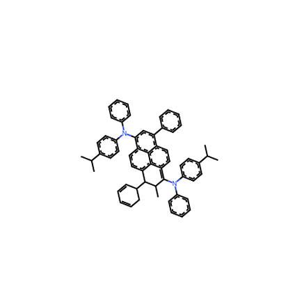 CC(C)c1ccc(N(C2=c3ccc4c(-c5ccccc5)cc(N(c5ccccc5)c5ccc(C(C)C)cc5)c5ccc(c3c45)C(C3C=CC=CC3)C2C)c2ccccc2)cc1